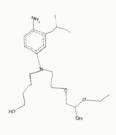 CCOC(O)COCCN(CCCCO)c1ccc(N)c(C(C)C)c1